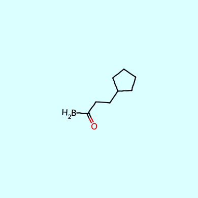 BC(=O)CCC1CCCC1